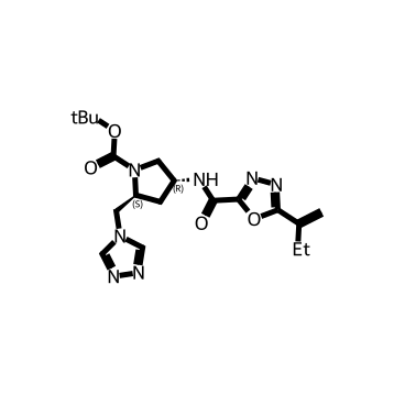 C=C(CC)c1nnc(C(=O)N[C@@H]2C[C@@H](Cn3cnnc3)N(C(=O)OC(C)(C)C)C2)o1